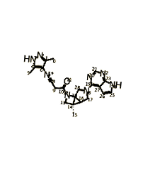 Cc1n[nH]c(C)c1[N+]#CCC(=O)N1C[C@]2(C)C3CN(c4ncnc5[nH]ccc45)C[C@]312